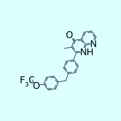 Cc1c(-c2ccc(Cc3ccc(OC(F)(F)F)cc3)cc2)[nH]c2ncccc2c1=O